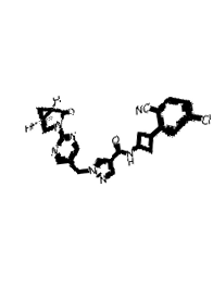 N#Cc1ccc(Cl)cc1C1CC(NC(=O)c2cnn(Cc3cnc(N4C[C@H]5C[C@H]5C4=O)nc3)c2)C1